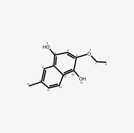 CCOc1cc(O)c2cc(C)ccc2c1O